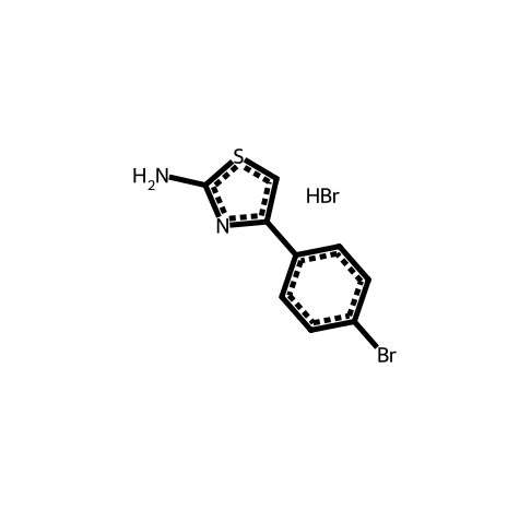 Br.Nc1nc(-c2ccc(Br)cc2)cs1